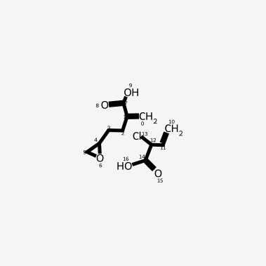 C=C(CCC1CO1)C(=O)O.C=CC(Cl)C(=O)O